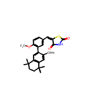 COc1cc2c(cc1-c1cc(C=C3SC(=O)NC3=O)ccc1OC(F)(F)F)C(C)(C)CCC2(C)C